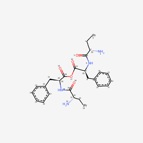 CC(C)C[C@H](N)C(=O)N[C@@H](Cc1ccccc1)C(=O)OC(=O)[C@H](Cc1ccccc1)NC(=O)[C@@H](N)CC(C)C